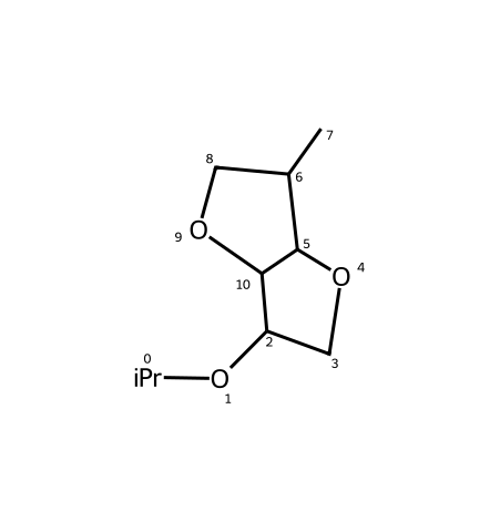 CC(C)OC1COC2C(C)COC12